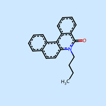 CCCCn1c(=O)c2ccccc2c2c3ccccc3ccc21